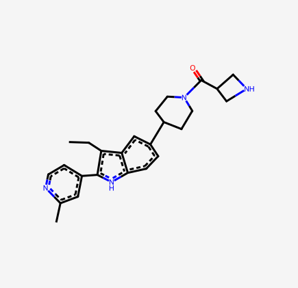 CCc1c(-c2ccnc(C)c2)[nH]c2ccc(C3CCN(C(=O)C4CNC4)CC3)cc12